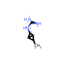 CC1C2C(NC(=N)N)C12